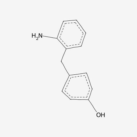 Nc1ccccc1Cc1ccc(O)cc1